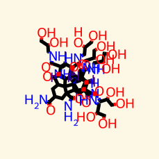 NC(=O)C1CC(C(N)=O)C(c2c(I)c(C(=O)NCC(O)CO)c(I)c(C(=O)NCC(O)CO)c2I)(c2c(I)c(C(=O)NCC(O)CO)c(I)c(C(=O)NCC(O)CO)c2I)C(C(N)=O)(c2c(I)c(C(=O)NCC(O)CO)c(I)c(C(=O)NCC(O)CO)c2I)C1